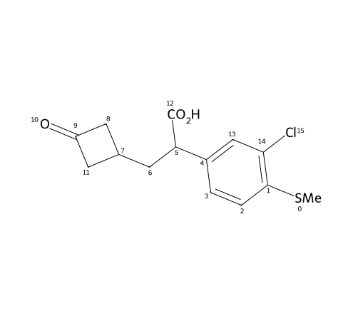 CSc1ccc(C(CC2CC(=O)C2)C(=O)O)cc1Cl